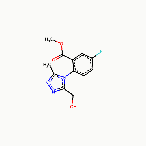 COC(=O)c1cc(F)ccc1-n1c(C)nnc1CO